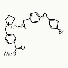 COC(=O)c1ccc(CN2CCC[C@@H]2CN(C)Cc2ccc(Oc3ccc(Br)cc3)cc2)cc1